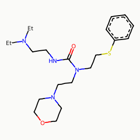 CCN(CC)CCNC(=O)N(CCSc1ccccc1)CCN1CCOCC1